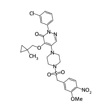 COc1cc(CS(=O)(=O)N2CCN(c3cnn(-c4cccc(Cl)c4)c(=O)c3OCC3(C)CC3)CC2)ccc1[N+](=O)[O-]